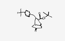 CC(C)(C)OC(=O)N1CC2CC(=O)CN2CC1Cc1ccc(C(F)(F)F)cc1